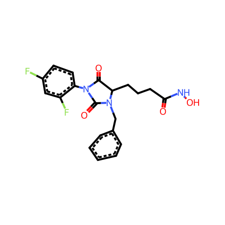 O=C(CCCC1C(=O)N(c2ccc(F)cc2F)C(=O)N1Cc1ccccc1)NO